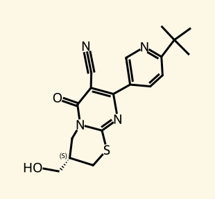 CC(C)(C)c1ccc(-c2nc3n(c(=O)c2C#N)C[C@@H](CO)CS3)cn1